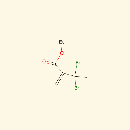 C=C(C(=O)OCC)C(C)(Br)Br